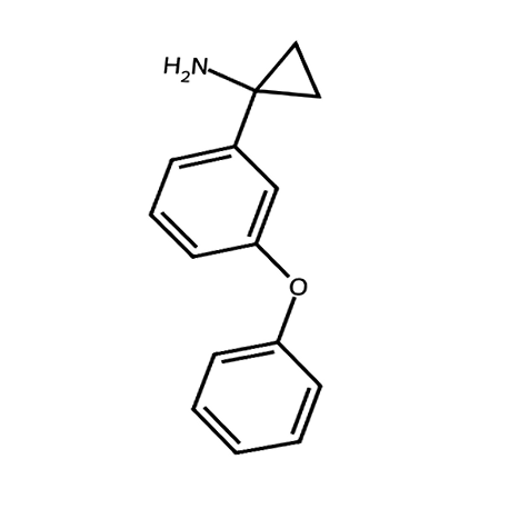 NC1(c2cccc(Oc3ccccc3)c2)CC1